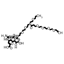 C#CCOCCOCCOCCOCCC(=O)N(CCOCCC)CCOCCOCCNC(=O)O[C@@H]([C@@H]1OC(C(=O)O)=C[C@H](NC(=N)N)[C@H]1NC(C)=O)[C@H](O)CO